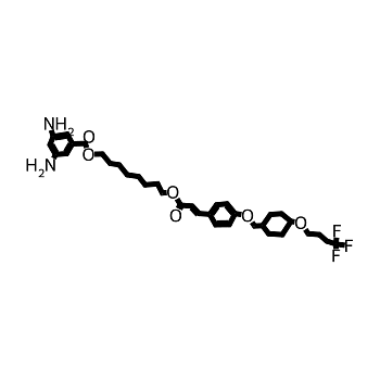 Nc1cc(N)cc(C(=O)OCCCCCCCCOC(=O)/C=C/c2ccc(OCC3CCC(OCCCC(F)(F)F)CC3)cc2)c1